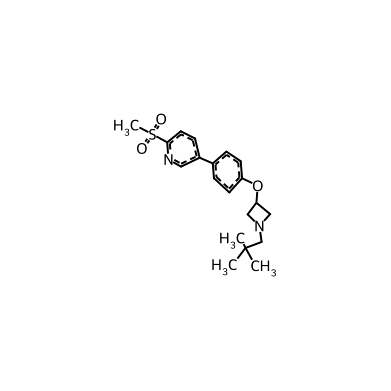 CC(C)(C)CN1CC(Oc2ccc(-c3ccc(S(C)(=O)=O)nc3)cc2)C1